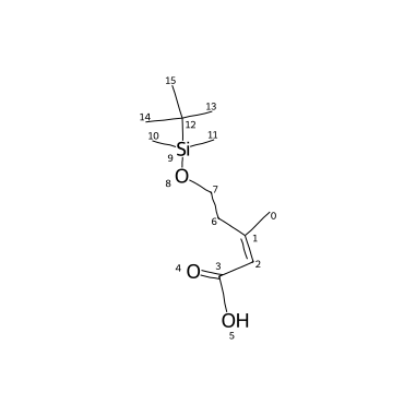 C/C(=C/C(=O)O)CCO[Si](C)(C)C(C)(C)C